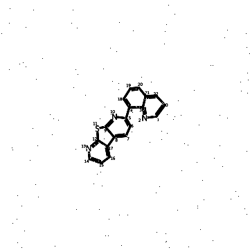 c1cnc2c(-c3ccc4c(n3)sc3ncccc34)cccc2c1